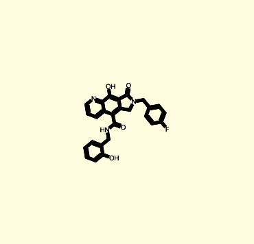 O=C(NCc1ccccc1O)c1c2c(c(O)c3ncccc13)C(=O)N(Cc1ccc(F)cc1)C2